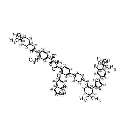 CC1(C)CCC(CN2CCN(c3ccc(C(=O)NS(=O)(=O)c4ccc(NCC5CCC(C)(O)CC5)c([N+](=O)[O-])c4)c(Oc4cnc5[nH]ccc5c4)c3)CC2)=C(c2cc(-c3ccc(C(C)(C)O)c(F)c3)cs2)C1